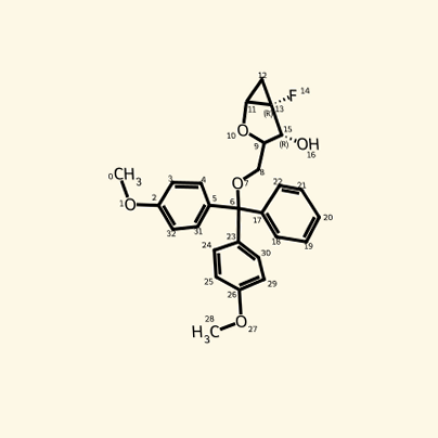 COc1ccc(C(OCC2OC3C[C@@]3(F)[C@@H]2O)(c2ccccc2)c2ccc(OC)cc2)cc1